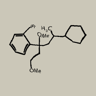 COCCC(CC(C)C1CCCCC1)(OC)c1ccccc1C(C)C